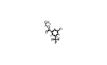 CCOC(=O)c1cc(F)cc(C(F)(F)F)c1